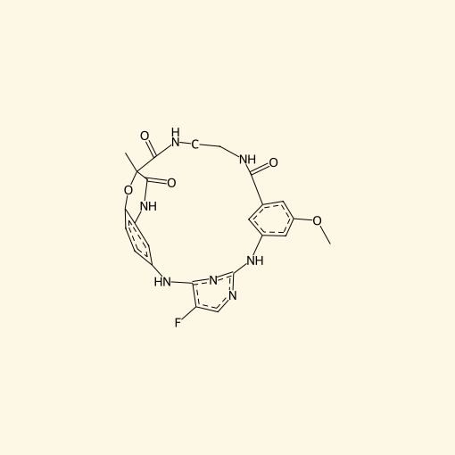 COc1cc2cc(c1)C(=O)NCCNC(=O)C1(C)Oc3ccc(cc3NC1=O)Nc1nc(ncc1F)N2